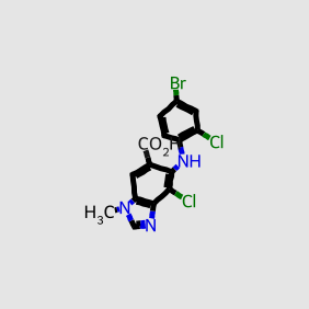 Cn1cnc2c(Cl)c(Nc3ccc(Br)cc3Cl)c(C(=O)O)cc21